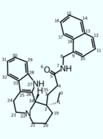 CC[C@]1(CCC(=O)NCc2cccc3ccccc23)CCCN2CCc3c([nH]c4ccccc34)[C@@H]21